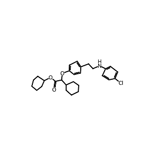 O=C(OC1CCCCC1)C(Oc1ccc(CCNc2ccc(Cl)cc2)cc1)C1CCCCC1